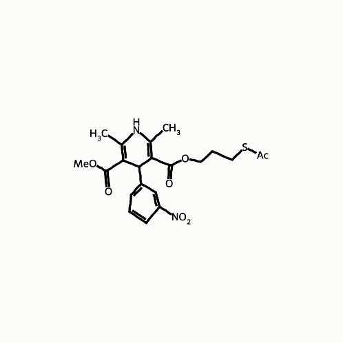 COC(=O)C1=C(C)NC(C)=C(C(=O)OCCCSC(C)=O)C1c1cccc([N+](=O)[O-])c1